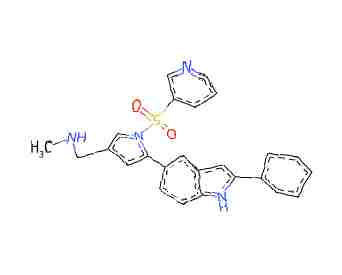 CNCc1cc(-c2ccc3[nH]c(-c4ccccc4)cc3c2)n(S(=O)(=O)c2cccnc2)c1